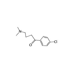 CN(C)CCCC(=O)c1ccc(Cl)cc1